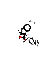 CC[Si](CC)(CC)OC([C@H]1CC[C@@H](N)CC1)(C(F)(F)F)C(F)(F)F